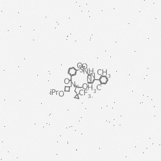 Cc1cccc(C)c1-c1cc2nc(n1)NS(=O)(=O)c1cccc(c1)C(=O)N([C@H]1C[C@@H](OC(C)C)C1)[C@H](CC1(C(F)(F)F)CC1)CO2